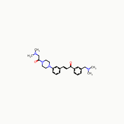 CN(C)CC(=O)N1CCN(c2cccc(C=CC(=O)c3cccc(CN(C)C)c3)c2)CC1